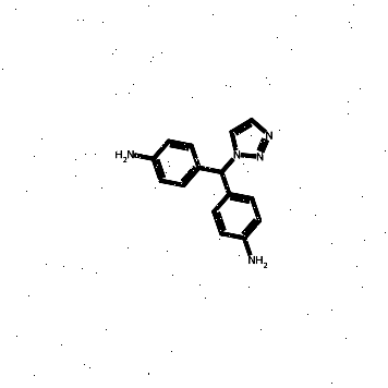 Nc1ccc(C(c2ccc(N)cc2)n2ccnn2)cc1